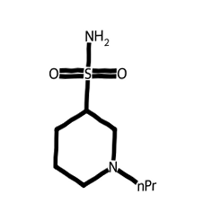 CCCN1CCCC(S(N)(=O)=O)C1